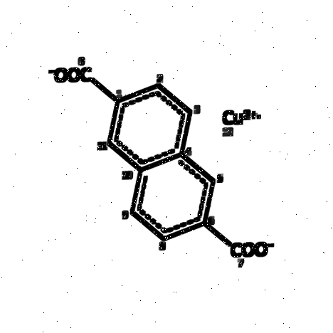 O=C([O-])c1ccc2cc(C(=O)[O-])ccc2c1.[Cu+2]